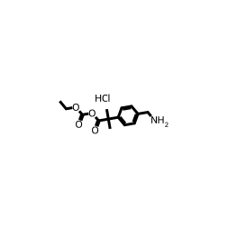 CCOC(=O)OC(=O)C(C)(C)c1ccc(CN)cc1.Cl